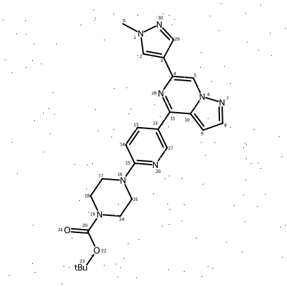 Cn1cc(-c2cn3nccc3c(-c3ccc(N4CCN(C(=O)OC(C)(C)C)CC4)nc3)n2)cn1